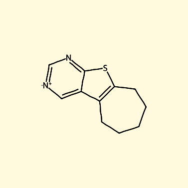 C1=[N+]C=c2c3c(sc2=N1)CCCCC3